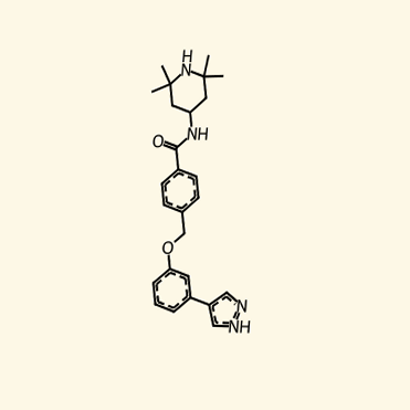 CC1(C)CC(NC(=O)c2ccc(COc3cccc(-c4cn[nH]c4)c3)cc2)CC(C)(C)N1